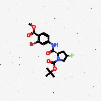 COC(=O)c1ccc(NC(=O)[C@@H]2C[C@@H](F)CN2C(=O)OC(C)(C)C)cc1Br